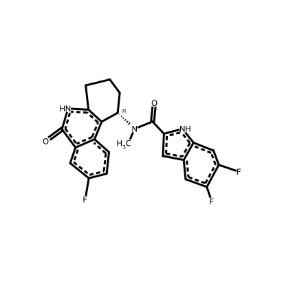 CN(C(=O)c1cc2cc(F)c(F)cc2[nH]1)[C@H]1CCCc2[nH]c(=O)c3cc(F)ccc3c21